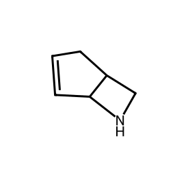 C1=CC2NCC2C1